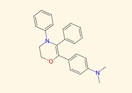 CN(C)c1ccc(C2=C(c3ccccc3)N(c3ccccc3)CCO2)cc1